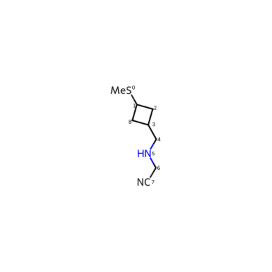 CSC1CC(CNCC#N)C1